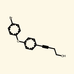 OCCC#Cc1ccc(Oc2ccc(Br)cc2)cc1